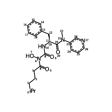 CC(C)CCCC(=O)N(O)C(=O)N[C@@H](Cc1ccccc1)C(=O)N(C)c1cccnc1